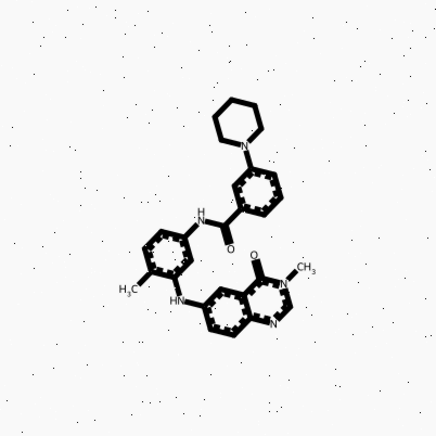 Cc1ccc(NC(=O)c2cccc(N3CCCCC3)c2)cc1Nc1ccc2ncn(C)c(=O)c2c1